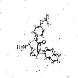 N[C@H]1CN(c2ccc(OC(F)F)cc2)C(=O)c2c(-c3ccc4nccn4c3)cnn21